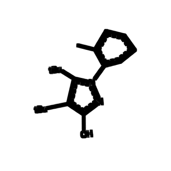 Cc1ccccc1-n1nc(O)c(C(C)(C)C)c1C(C)(C)C